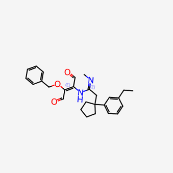 CCc1cccc(C2(C/C(=N/C)N/C(C=O)=C(\C=O)OCc3ccccc3)CCCC2)c1